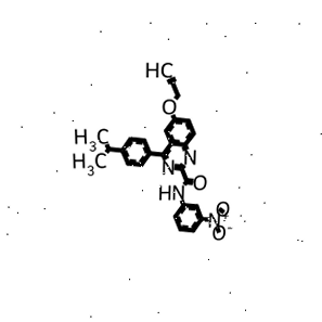 C#CCOc1ccc2nc(C(=O)Nc3cccc([N+](=O)[O-])c3)nc(-c3ccc(C(C)C)cc3)c2c1